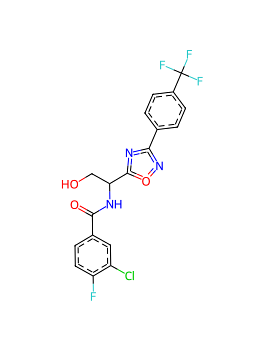 O=C(NC(CO)c1nc(-c2ccc(C(F)(F)F)cc2)no1)c1ccc(F)c(Cl)c1